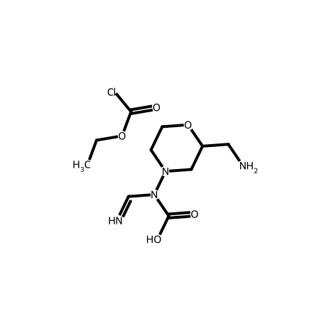 CCOC(=O)Cl.N=CN(C(=O)O)N1CCOC(CN)C1